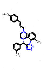 COc1ccc(/C=C/CN2CCN([C@@H](c3cccc(C(F)(F)F)c3)c3nnnn3-c3c(C)cccc3C)CC2)cc1